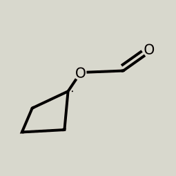 O=CO[C]1CCC1